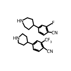 N#Cc1ccc(C2CCNCC2)cc1C(F)(F)F.N#Cc1ccc(C2CCNCC2)cc1F